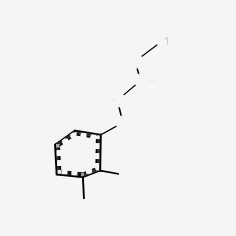 Cc1cccc(OO[SiH2]OP)c1C